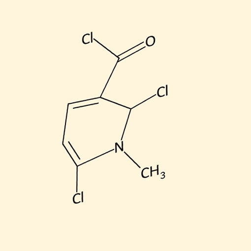 CN1C(Cl)=CC=C(C(=O)Cl)C1Cl